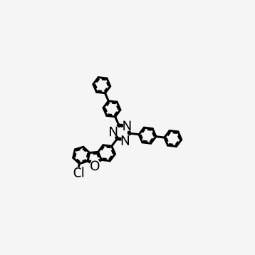 Clc1cccc2c1oc1ccc(-c3nc(-c4ccc(-c5ccccc5)cc4)nc(-c4ccc(-c5ccccc5)cc4)n3)cc12